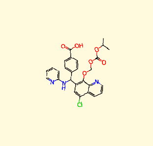 CC(C)OC(=O)OCOc1c(C(Nc2ccccn2)c2ccc(C(=O)O)cc2)cc(Cl)c2cccnc12